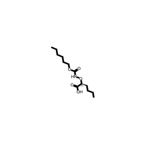 CCCCCCOC(=O)NO[C@@H](CCCC)C(=O)O